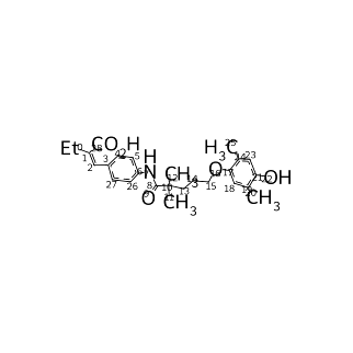 CCC(=Cc1ccc(NC(=O)C(C)(C)CCCOc2cc(C)c(O)cc2C)cc1)C(=O)O